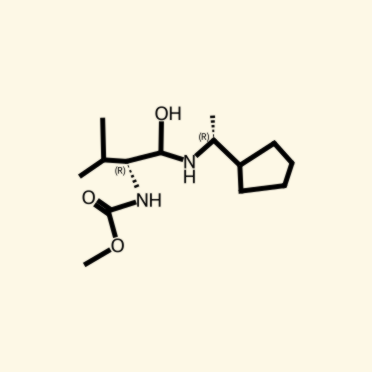 COC(=O)N[C@H](C(C)C)C(O)N[C@H](C)C1CCCC1